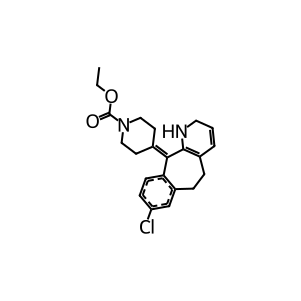 CCOC(=O)N1CCC(=C2C3=C(C=CCN3)CCc3cc(Cl)ccc32)CC1